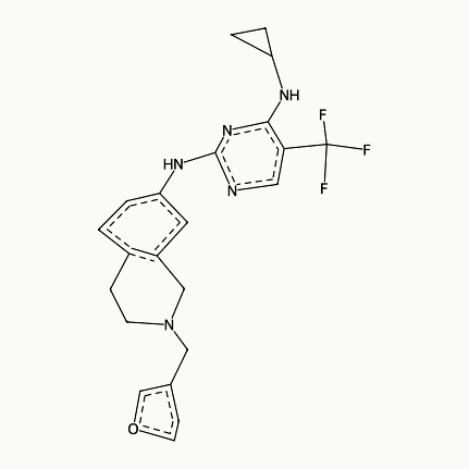 FC(F)(F)c1cnc(Nc2ccc3c(c2)CN(Cc2ccoc2)CC3)nc1NC1CC1